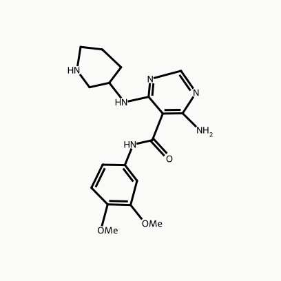 COc1ccc(NC(=O)c2c(N)ncnc2NC2CCCNC2)cc1OC